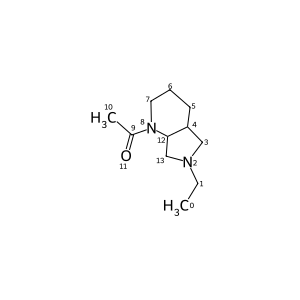 CCN1CC2CCCN(C(C)=O)C2C1